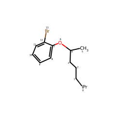 CC(C)CCCC(C)Oc1ccccc1Br